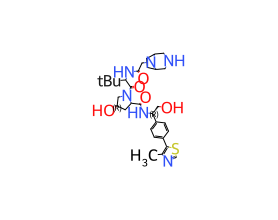 Cc1ncsc1-c1ccc([C@H](CO)NC(=O)C2C[C@@H](O)CN2C(=O)C(NC(=O)CN2C3CCC2CNC3)C(C)(C)C)cc1